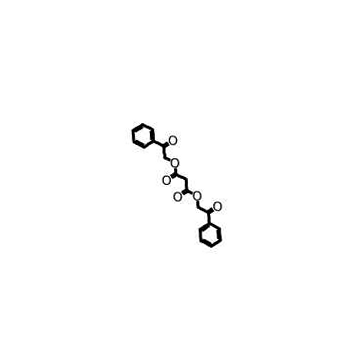 O=C(CC(=O)OCC(=O)c1ccccc1)OCC(=O)c1ccccc1